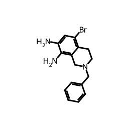 Nc1cc(Br)c2c(c1N)CN(Cc1ccccc1)CC2